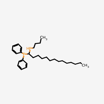 CCCCCCCCCCCCCC(PCCCC)P(c1ccccc1)c1ccccc1